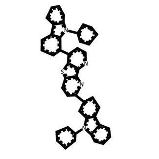 c1ccc(-n2c3ccccc3c3ccc(-c4ccc5sc6c(-c7cccc8c9ccccc9n(-c9ccccc9)c78)ccnc6c5n4)cc32)cc1